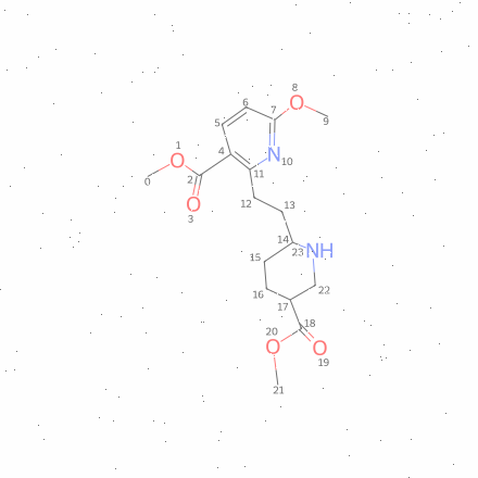 COC(=O)c1ccc(OC)nc1CCC1CCC(C(=O)OC)CN1